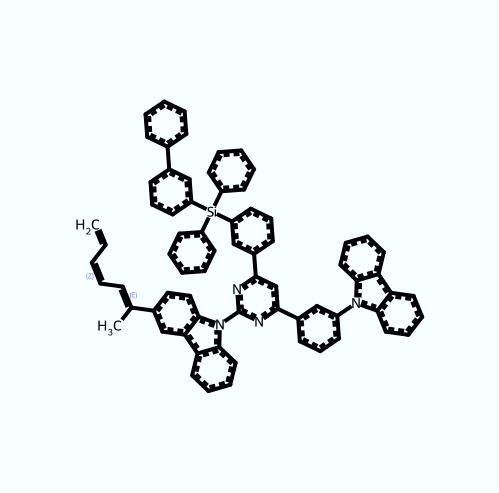 C=C/C=C\C=C(/C)c1ccc2c(c1)c1ccccc1n2-c1nc(-c2cccc(-n3c4ccccc4c4ccccc43)c2)cc(-c2cccc([Si](c3ccccc3)(c3ccccc3)c3cccc(-c4ccccc4)c3)c2)n1